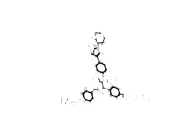 COc1ccc(CN(C)C(C(=O)Nc2ccc(-c3cnn(C4CCCCO4)c3)cc2)c2ccc(C(=O)O)cc2)cc1